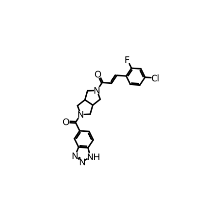 O=C(/C=C/c1ccc(Cl)cc1F)N1CC2CN(C(=O)c3ccc4[nH]nnc4c3)CC2C1